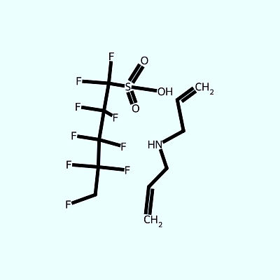 C=CCNCC=C.O=S(=O)(O)C(F)(F)C(F)(F)C(F)(F)C(F)(F)CF